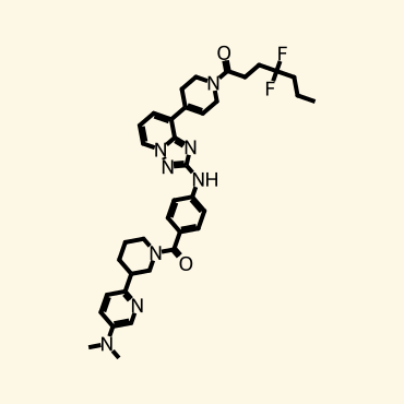 CCCC(F)(F)CCC(=O)N1CC=C(c2cccn3nc(Nc4ccc(C(=O)N5CCCC(c6ccc(N(C)C)cn6)C5)cc4)nc23)CC1